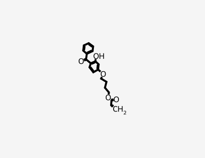 C=CC(=O)OCCCCOc1ccc(C(=O)c2ccccc2)c(O)c1